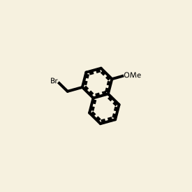 COc1ccc(CBr)c2ccccc12